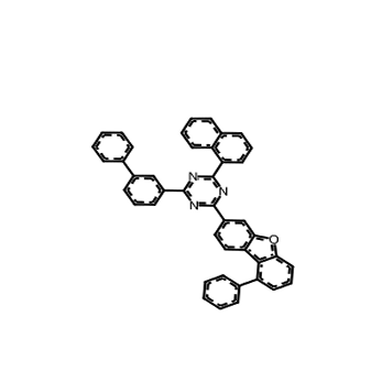 c1ccc(-c2cccc(-c3nc(-c4ccc5c(c4)oc4cccc(-c6ccccc6)c45)nc(-c4cccc5ccccc45)n3)c2)cc1